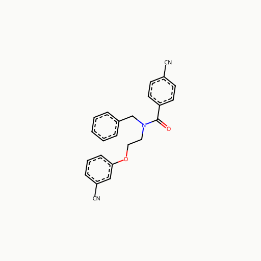 N#Cc1ccc(C(=O)N(CCOc2cccc(C#N)c2)Cc2ccccc2)cc1